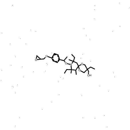 CCC1(CO)COC2(CC(C)(CC)N(OC(C)c3ccc(OCC4CO4)cc3)C(C)(CC)C2C)OC1